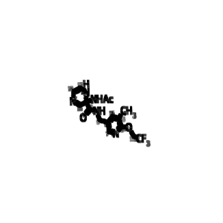 CC(=O)NC1(C(=O)NCc2cnc(OCC(F)(F)F)c(C)c2)C=NC=CN1